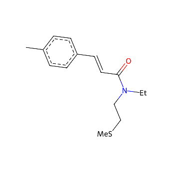 CCN(CCSC)C(=O)C=Cc1ccc(C)cc1